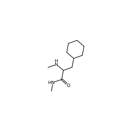 CNC(=O)C(CC1CCCCC1)NC